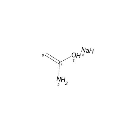 C=C(N)O.[NaH]